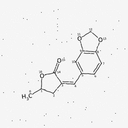 CC1CC(=Cc2ccc3c(c2)OCO3)C(=O)O1